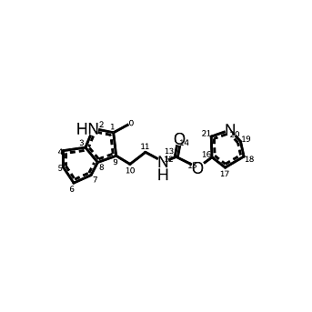 Cc1[nH]c2ccccc2c1CCNC(=O)Oc1cccnc1